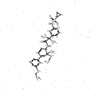 CCOc1cncc(C2=CC(C)(OC)C(NC(=O)C(C)(C)c3ccnc(NS(=O)(=O)C4CC4)n3)C=C2)n1